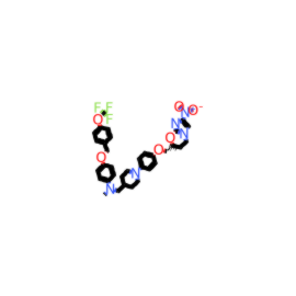 CN(CC1CCN(c2ccc(OC[C@H]3CCn4cc([N+](=O)[O-])nc4O3)cc2)CC1)c1ccc(OCc2ccc(OC(F)(F)F)cc2)cc1